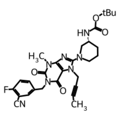 CC#CCn1c(N2CCC[C@@H](NC(=O)OC(C)(C)C)C2)nc2c1c(=O)n(Cc1ccc(F)c(C#N)c1)c(=O)n2C